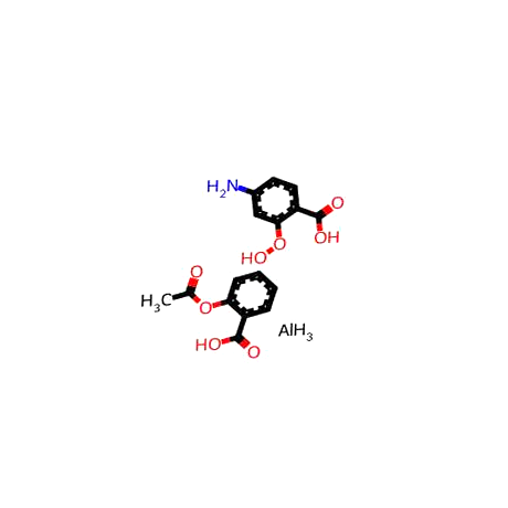 CC(=O)Oc1ccccc1C(=O)O.Nc1ccc(C(=O)O)c(OO)c1.[AlH3]